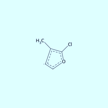 Cc1[c]coc1Cl